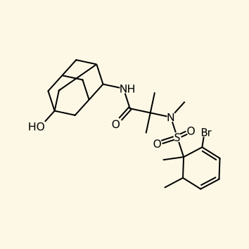 CC1C=CC=C(Br)C1(C)S(=O)(=O)N(C)C(C)(C)C(=O)NC1C2CC3CC1CC(O)(C3)C2